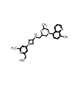 Cc1cc(N2CC(NCC3CN(c4ccc(C#N)c5ncccc45)CC(C)O3)C2)cc(CO)n1